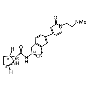 CNCCn1ccc(-c2ccc(C[C@@H](C#N)NC(=O)[C@H]3N[C@@H]4CC[C@H]3C4)c(F)c2)cc1=O